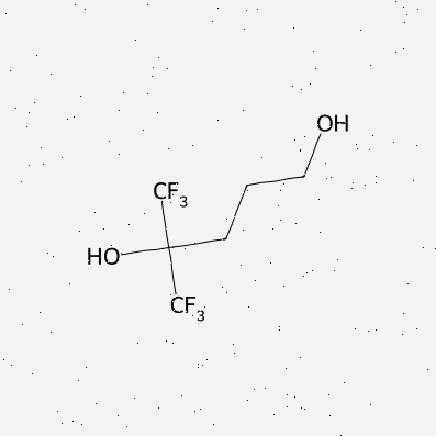 OCCCC(O)(C(F)(F)F)C(F)(F)F